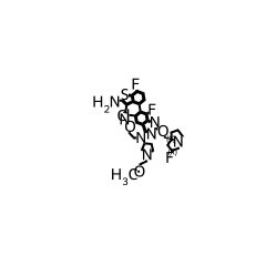 COCCN1CCC(N2CCOc3c(Cl)c(-c4ccc(F)c5sc(N)c(C#N)c45)c(F)c4nc(OC[C@@]56CCCN5C[C@H](F)C6)nc2c34)C1